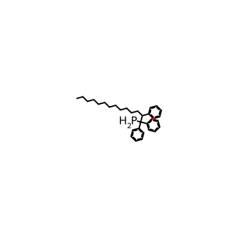 CCCCCCCCCCCCC(c1ccccc1)C(P)(c1ccccc1)c1ccccc1